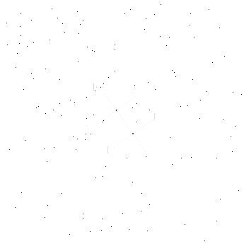 [2H]C([2H])(O)C(F)(F)F